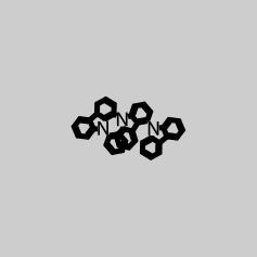 C1=CC(n2c3ccccc3c3c(-n4c5ccccc5c5ccccc54)cccc32)=C2C(C1)c1ccccc1N2c1ccccc1